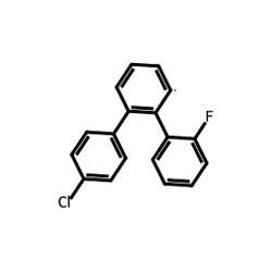 Fc1ccccc1-c1[c]cccc1-c1ccc(Cl)cc1